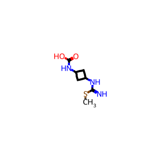 CSC(=N)NC1CC(NC(=O)O)C1